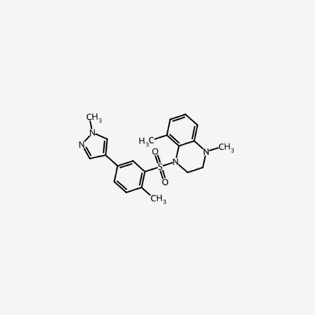 Cc1ccc(-c2cnn(C)c2)cc1S(=O)(=O)N1CCN(C)c2cccc(C)c21